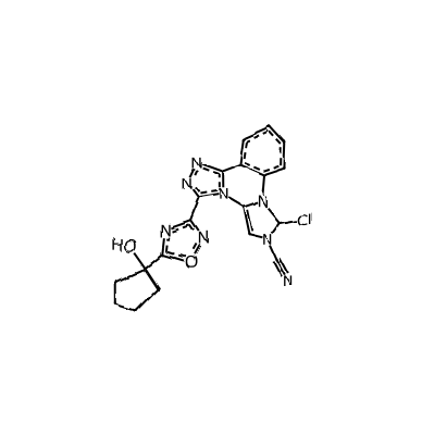 N#CN1C=C2N(c3ccccc3-c3nnc(-c4noc(C5(O)CCCC5)n4)n32)C1Cl